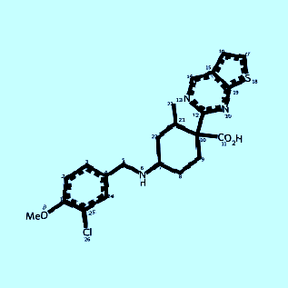 COc1ccc(CNC2CCC(C(=O)O)(c3ncc4ccsc4n3)C(C)C2)cc1Cl